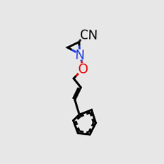 N#CC1CN1OC/C=C/c1ccccc1